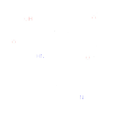 O=C(O)c1cc2c([nH]1)-c1ccncc1OC21CCOCC1